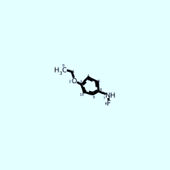 CCOc1ccc(NF)cc1